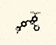 Cn1cc(-c2ccc(Cc3nn(C4CCCCO4)c4ccc(B(O)O)cc34)cc2)cn1